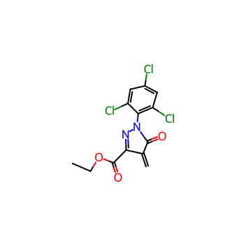 C=C1C(=O)N(c2c(Cl)cc(Cl)cc2Cl)N=C1C(=O)OCC